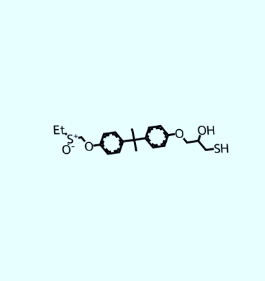 CC[S+]([O-])COc1ccc(C(C)(C)c2ccc(OCC(O)CS)cc2)cc1